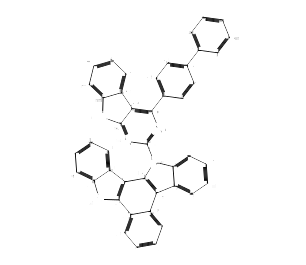 c1ccc(-c2ccc(-c3nc(-n4c5ccccc5c5c6ccccc6c6sc7ccccc7c6c54)nc4oc5ccccc5c34)cc2)cc1